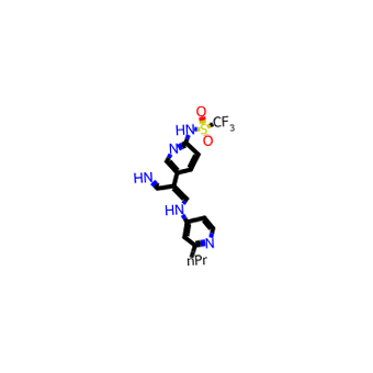 CCCc1cc(N/C=C(\C=N)c2ccc(NS(=O)(=O)C(F)(F)F)nc2)ccn1